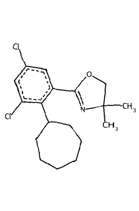 CC1(C)COC(c2cc(Cl)cc(Cl)c2C2CCCCCC2)=N1